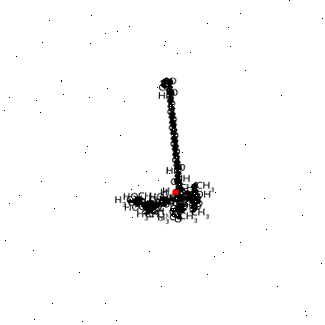 C/C=C\C#C[C@]1(O)CC(=O)C(NC(=O)OC)=C([C@H](C)O[C@@H]2O[C@H](C)[C@@H](NO[C@H]3C[C@H](O)[C@H](SC(=O)c4c(C)c(I)c(O[C@@H]5O[C@@H](C)[C@H](O)[C@@H](OC)[C@H]5O)c(OC)c4OC)[C@@H](C)O3)[C@H](O)[C@H]2O[C@H]2C[C@H](OC)[C@@H](N(CC)C(C)=O)CO2)/C1=C\CSSC(C)(C)CCC(=O)NCCNC(=O)CCOCCOCCOCCOCCOCCOCCOCCOCCNC(=O)CCN1C(=O)C=CC1=O